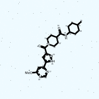 COc1cc(-c2cc(C(=O)N3CCC(C(=O)NC4CCC(C)CC4)CC3)n[nH]2)ncn1